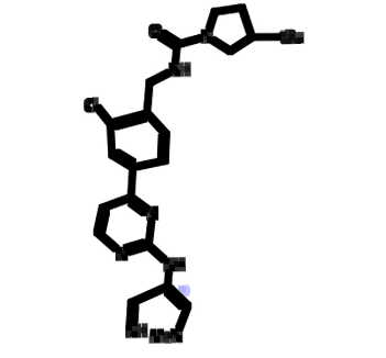 CN/C=C(\C=N)Nc1nccc(-c2ccc(CNC(=O)N3CCC(C(C)(C)C)C3)c(Cl)c2)n1